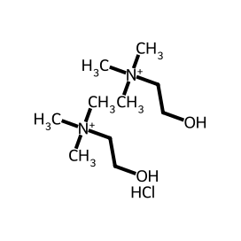 C[N+](C)(C)CCO.C[N+](C)(C)CCO.Cl